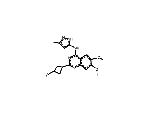 COc1cc2nc(N3CC(N)C3)nc(Nc3cc(C)n[nH]3)c2cc1OC